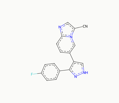 N#Cc1cnc2ccc(-c3c[nH]nc3-c3ccc(F)cc3)cn12